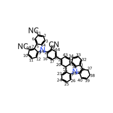 N#Cc1ccc2c(c1)c1c(C#N)cccc1n2-c1ccc(C2=CC(c3ccccc3-n3c4c(c5ccccc53)CCC=C4)CC=C2)cc1C#N